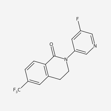 O=C1c2ccc(C(F)(F)F)cc2CCN1c1cncc(F)c1